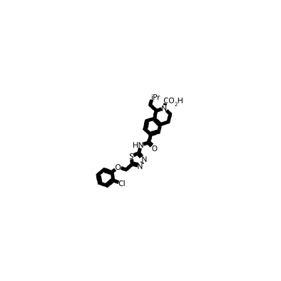 CC(C)CC1c2ccc(C(=O)Nc3nnc(COc4ccccc4Cl)s3)cc2CCN1C(=O)O